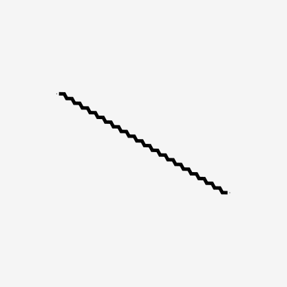 [CH2]CCCCCCCCCCCCCCCCCCCCCCCCCCCCCCCCCCCCCCCCCC[CH2]